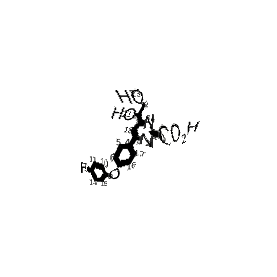 O=C(O)c1nc(-c2ccc(Oc3ccc(F)cc3)cc2)cc([C@@H](O)CO)n1